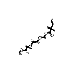 CCC(C)(C)C(=O)OCOCCOCCOC